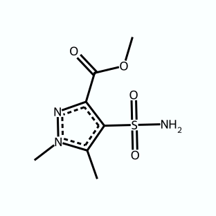 COC(=O)c1nn(C)c(C)c1S(N)(=O)=O